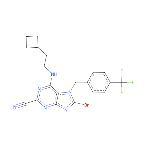 N#Cc1nc(NCCC2CCC2)c2c(n1)nc(Br)n2Cc1ccc(C(F)(F)F)cc1